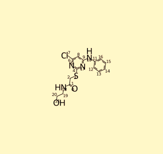 O=C(CSc1nc(Cl)cc(Nc2ccccc2)n1)NCCO